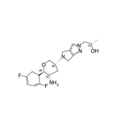 C[C@H](O)Cn1cc2c(n1)CN([C@H]1CO[C@H](C3CC(F)=CC=C3F)[C@@H](N)C1)C2